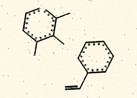 C=Cc1ccccc1.Cc1ccnc(N)c1C